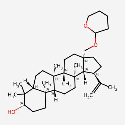 C=C(C)[C@@H]1CC[C@]2(COC3CCCCO3)CC[C@@]3(C)[C@]4(C)CC[C@H]5C(C)(C)[C@@H](O)CC[C@]5(C)[C@H]4CC[C@]3(C)[C@@H]12